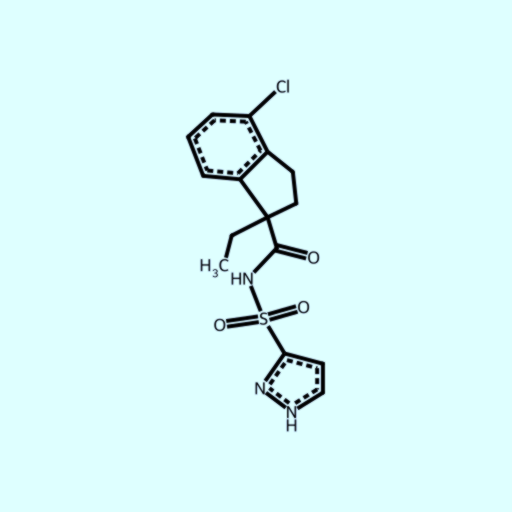 CCC1(C(=O)NS(=O)(=O)c2cc[nH]n2)CCc2c(Cl)cccc21